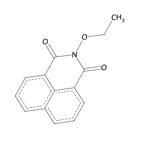 CCON1C(=O)c2cccc3cccc(c23)C1=O